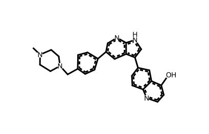 CN1CCN(Cc2ccc(-c3cnc4[nH]cc(-c5ccc6nccc(O)c6c5)c4c3)cc2)CC1